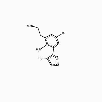 CNCCc1cc(Br)cc(-c2sccc2C)c1N